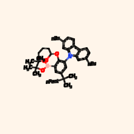 CCCCCC(C)(C)c1cc(B2OC(C)(C)C(C)(C)O2)c(OC2CCCCO2)c(-n2c3cc(CCCC)ccc3c3ccc(CCCC)cc32)c1